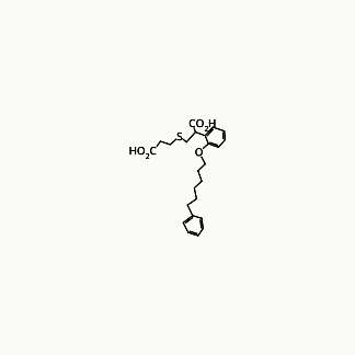 O=C(O)CCSCC(C(=O)O)c1ccccc1OCCCCCCc1ccccc1